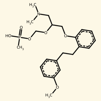 COc1cccc(CCc2ccccc2OCC(CN(C)C)OCOP(C)(=O)O)c1